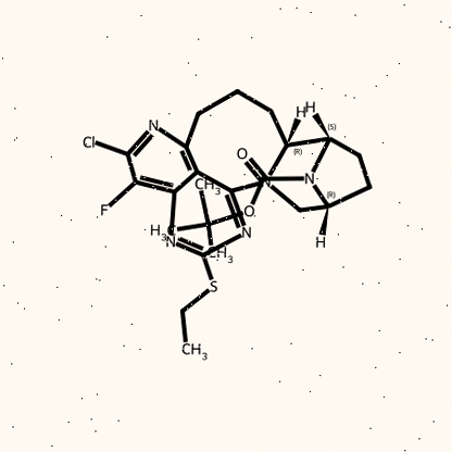 CCSc1nc2c3c(nc(Cl)c(F)c3n1)CCC[C@@H]1[C@@H]3CC[C@H](CN21)N3C(=O)OC(C)(C)C